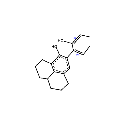 C/C=C(\C(O)=C/C)c1cc2c3c(c1O)CCCC3CCC2